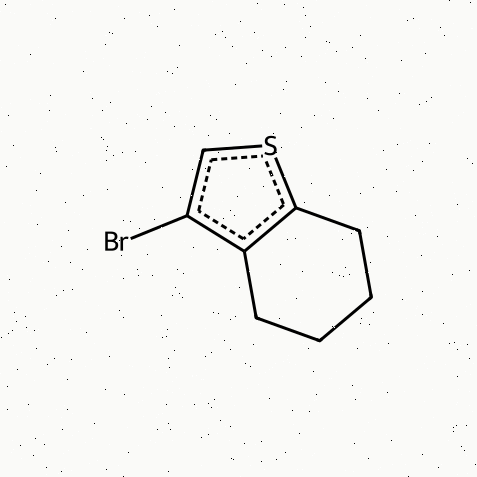 Brc1csc2c1CCCC2